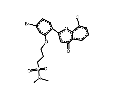 CN(C)S(=O)(=O)CCCOc1cc(Br)ccc1-c1cc(=O)c2cccc(Cl)c2o1